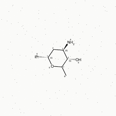 CC(C)[C@@H]1C[C@@H](N)[C@H](O)C(C)O1